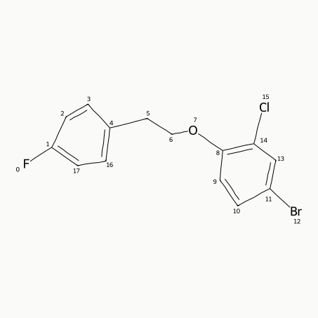 Fc1ccc(CCOc2ccc(Br)cc2Cl)cc1